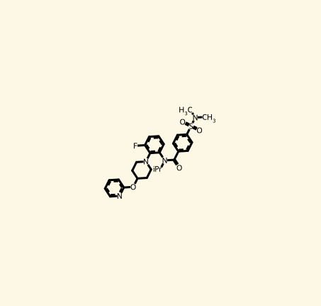 CC(C)N(C(=O)c1ccc(S(=O)(=O)N(C)C)cc1)c1cccc(F)c1N1CCC(Oc2ccccn2)CC1